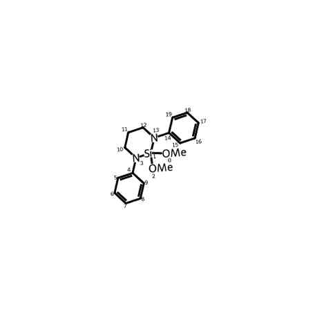 CO[Si]1(OC)N(c2ccccc2)CCCN1c1ccccc1